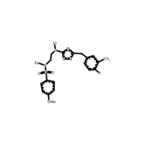 CCN(CCN(CC)S(=O)(=O)c1ccc(OC)cc1)c1nc(Cc2ccc(F)c(C)c2)ns1